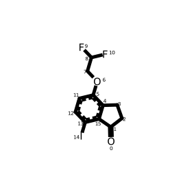 O=C1CCc2c(OCC(F)F)ccc(I)c21